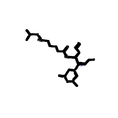 C=CCC(NC(=O)CCCCNSC(C)C)/C(=C\CF)N1CC(C)OC(C)C1